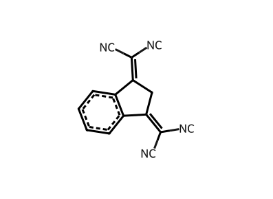 [C-]#[N+]/C(C#N)=C1\C/C(=C(/C#N)[N+]#[C-])c2ccccc21